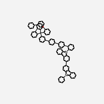 c1ccc(-c2cccc(-c3ccccc3C3(c4cccc(-c5ccc(-c6ccc(-c7ccccc7-n7c8ccccc8c8cc(-c9ccc%10c(c9)c9ccccc9n%10-c9ccccc9)ccc87)cc6)cc5)c4)c4ccccc4-c4ccccc43)c2)cc1